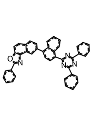 c1ccc(-c2nc(-c3ccccc3)nc(-c3ccc(-c4ccc5ccc6oc(-c7ccccc7)nc6c5c4)c4ccccc34)n2)cc1